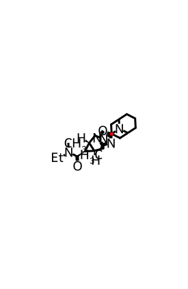 CCN(C)C(=O)[C@H]1[C@@H]2CN(C3CC4CCCC(C3)N4c3nc(C)no3)C[C@@H]21